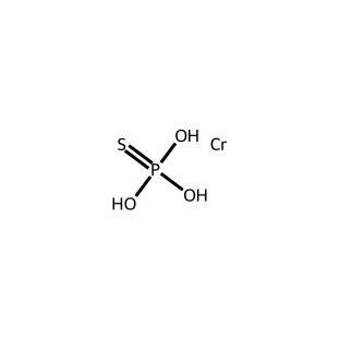 OP(O)(O)=S.[Cr]